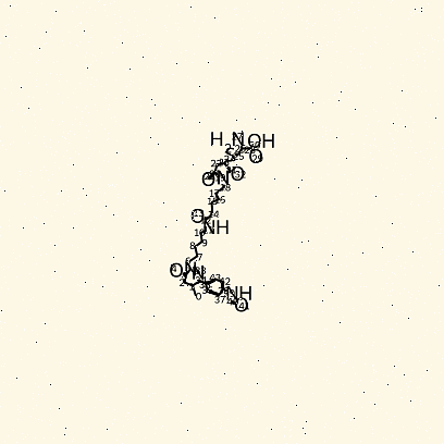 CC1CC(=O)N(CCCCCNC(=O)CCCCCN2C(=O)CC(SCC(N)C(=O)O)C2=O)N=C1c1ccc(NC=O)cc1